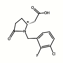 O=C(O)C[C@H]1CCC(=O)N1Cc1cccc(Cl)c1F